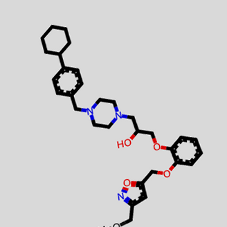 COCc1cc(COc2ccccc2OCC(O)CN2CCN(Cc3ccc(C4CCCCC4)cc3)CC2)on1